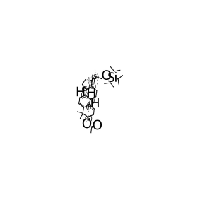 CC(=O)O[C@H]1CC[C@@]2(C)C(=CC[C@H]3[C@@H]4CC[C@H]([C@H](C)CO[Si](C(C)C)(C(C)C)C(C)C)[C@@]4(C)CC[C@@H]32)C1(C)C